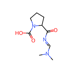 CN(C)/C=N/C(=O)C1CCCN1C(=O)O